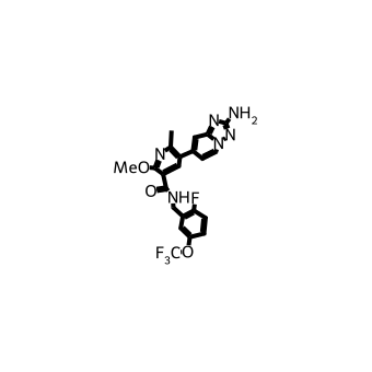 COc1nc(C)c(-c2ccn3nc(N)nc3c2)cc1C(=O)NCc1cc(OC(F)(F)F)ccc1F